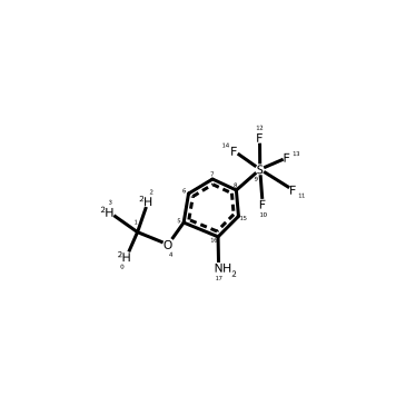 [2H]C([2H])([2H])Oc1ccc(S(F)(F)(F)(F)F)cc1N